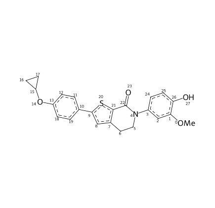 COc1cc(N2CCc3cc(-c4ccc(OC5CC5)cc4)sc3C2=O)ccc1O